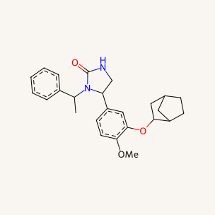 COc1ccc(C2CNC(=O)N2C(C)c2ccccc2)cc1OC1CC2CCC1C2